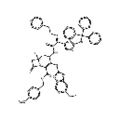 COc1ccc(COC(=O)C2=C(Sc3nc4cc(CI)ccc4s3)C(NC(=O)/C(=N\OCc3ccccc3)c3csc(NC(c4ccccc4)(c4ccccc4)c4ccccc4)n3)S[C@H]3CC(=O)N23)cc1